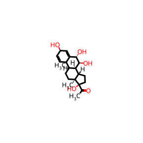 CC(=O)[C@@]1(O)CC[C@H]2[C@@H]3[C@H](O)[C@@H](O)C4=C[C@H](O)C=C[C@]4(C)[C@H]3CC[C@@]21C